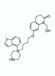 O=C1CCc2ccc(OCCCC[N+]3(c4cccc5sccc45)CCNCC3)cc2N1CO